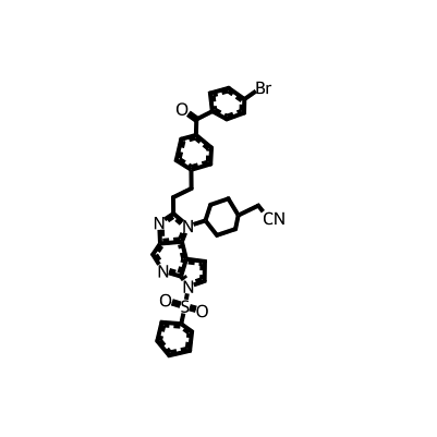 N#CCC1CCC(n2c(CCc3ccc(C(=O)c4ccc(Br)cc4)cc3)nc3cnc4c(ccn4S(=O)(=O)c4ccccc4)c32)CC1